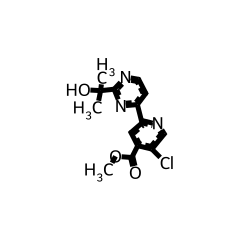 COC(=O)c1cc(-c2ccnc(C(C)(C)O)n2)ncc1Cl